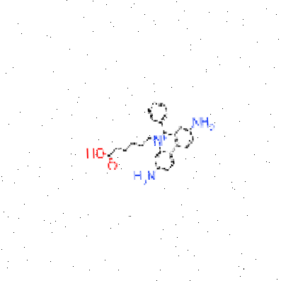 Nc1ccc2c(c1)c(-c1ccccc1)[n+](CCCCCC(=O)O)c1cc(N)ccc21